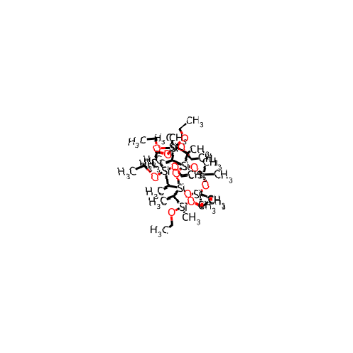 CCO[Si](C)(OCC)C(C)[Si]1(C(C)[Si](C)(OCC)OCC)O[Si](C)(C)O[Si](C)(C)O[Si](C(C)[Si](C)(OCC)OCC)(C(C)[Si](C)(OCC)OCC)O1